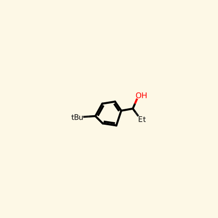 CCC(O)c1ccc(C(C)(C)C)cc1